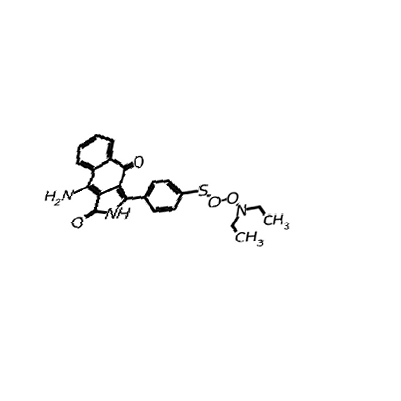 CCN(CC)OOSc1ccc(C2=C3C(=O)c4ccccc4C(N)=C3C(=O)N2)cc1